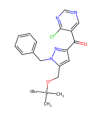 CC(C)(C)[Si](C)(C)OCc1cc(C(=O)c2cncnc2Cl)nn1Cc1ccccc1